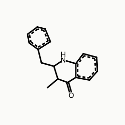 CC1C(=O)c2ccccc2NC1Cc1ccccc1